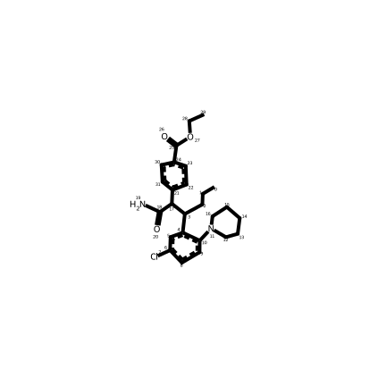 CCCC(c1cc(Cl)ccc1N1CCCCC1)C(C(N)=O)c1ccc(C(=O)OCC)cc1